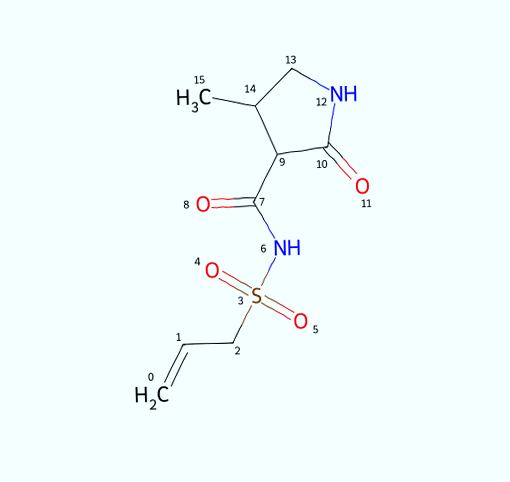 C=CCS(=O)(=O)NC(=O)C1C(=O)NCC1C